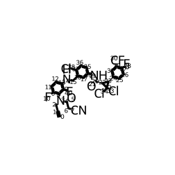 C#CCN(C(=O)CC#N)c1c(F)ccc(NCc2cc(NC(=O)[C@H]3[C@H](c4ccc(F)c(C(F)(F)F)c4)C3(Cl)Cl)ccc2Cl)c1F